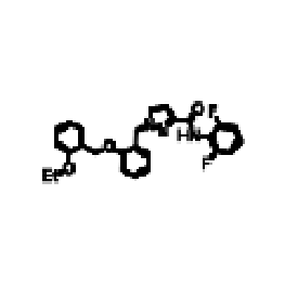 CCOc1ccccc1COc1ccccc1Cn1ccc(C(=O)Nc2c(F)cccc2F)n1